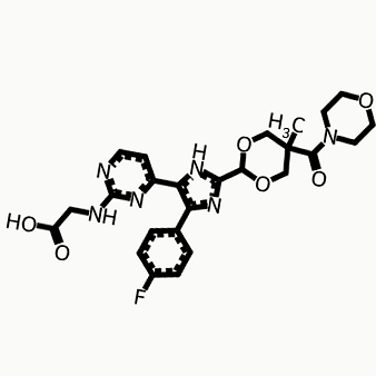 CC1(C(=O)N2CCOCC2)COC(c2nc(-c3ccc(F)cc3)c(-c3ccnc(NCC(=O)O)n3)[nH]2)OC1